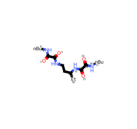 CCCCNC(=O)C(=O)NCCC(CC)NC(=O)C(=O)NCCCC